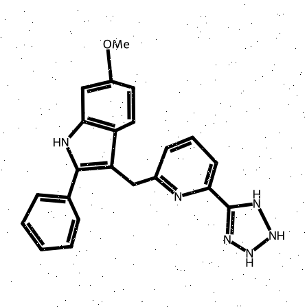 COc1ccc2c(Cc3cccc(C4=NNNN4)n3)c(-c3ccccc3)[nH]c2c1